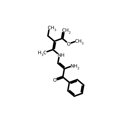 C=C(OC)/C(CC)=C(/C)N/C=C(\N)C(=O)c1ccccc1